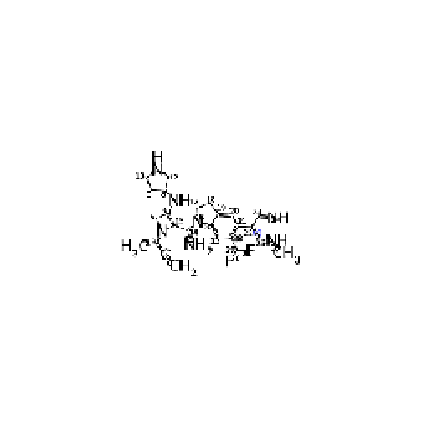 C=C=C(C)N1CC(NC2CCNC2)=C1C(N)N1CCc2cc(/C(C=N)=C/NC)c(C(F)F)cc21